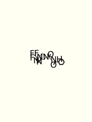 O=C(NCC(=O)N1CCn2c(nnc2C(F)(F)F)C1)c1ccccc1